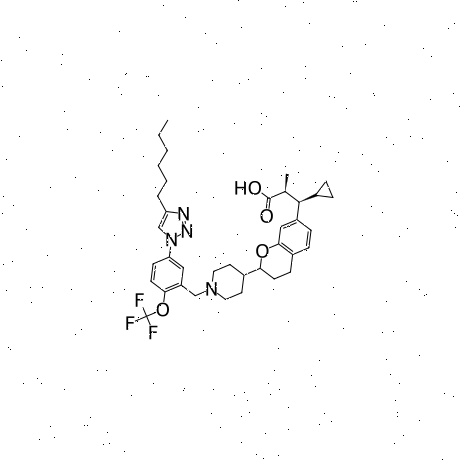 CCCCCCc1cn(-c2ccc(OC(F)(F)F)c(CN3CCC(C4CCc5ccc([C@H](C6CC6)[C@H](C)C(=O)O)cc5O4)CC3)c2)nn1